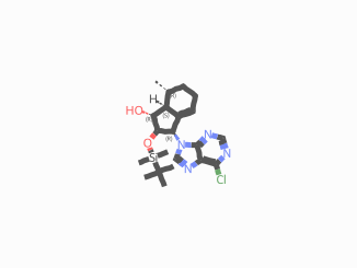 C[C@@H]1CCC=C2[C@H]1[C@@H](O)C(O[Si](C)(C)C(C)(C)C)[C@@H]2n1cnc2c(Cl)ncnc21